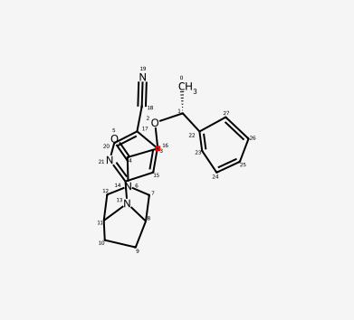 C[C@@H](OCC(=O)N1CC2CCC(C1)N2c1ccc(C#N)cn1)c1ccccc1